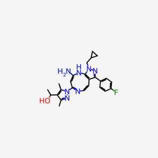 Cc1nn(-c2cc(N)[nH]c3c(ccn2)c(-c2ccc(F)cc2)nn3CC2CC2)c(C)c1C(C)O